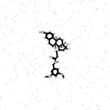 COc1cc(CNC(=O)CC[C@@H]2CC(F)(F)[C@@]3(C)CC[C@@H]4c5ccc(O)cc5CC[C@H]4[C@H]23)cc(OC)c1